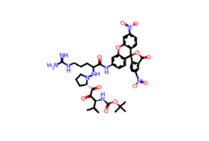 CC(C)[C@H](NC(=O)OC(C)(C)C)C(=O)C(=O)[C@@H]1CCCN1NC(CCCNC(=N)N)C(=O)Nc1ccc2c(c1)Oc1cc([N+](=O)[O-])ccc1C21OC(=O)c2cc([N+](=O)[O-])ccc21